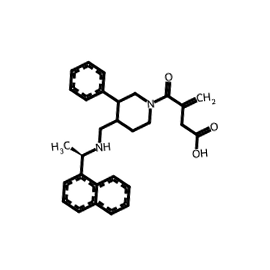 C=C(CC(=O)O)C(=O)N1CCC(CN[C@H](C)c2cccc3ccccc23)C(c2ccccc2)C1